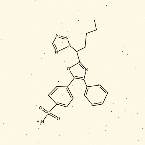 CCCCC(c1nc(-c2ccccc2)c(-c2ccc(S(N)(=O)=O)cc2)o1)n1ncnn1